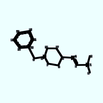 CN(C)C=NC1CCN(Cc2ccccc2)CC1